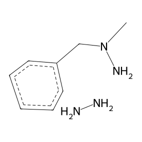 CN(N)Cc1ccccc1.NN